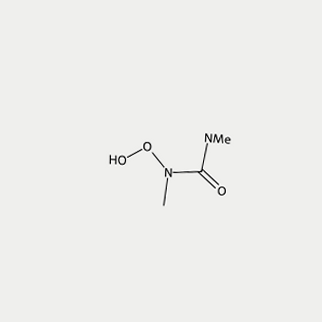 CNC(=O)N(C)OO